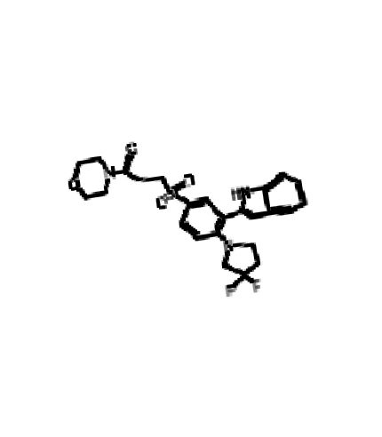 O=C(CCS(=O)(=O)c1ccc(N2CCC(F)(F)C2)c(-c2cc3ccccc3[nH]2)c1)N1CCOCC1